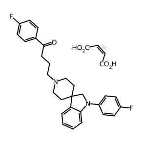 O=C(CCCN1CCC2(CC1)CN(c1ccc(F)cc1)c1ccccc12)c1ccc(F)cc1.O=C(O)/C=C\C(=O)O